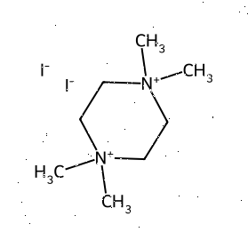 C[N+]1(C)CC[N+](C)(C)CC1.[I-].[I-]